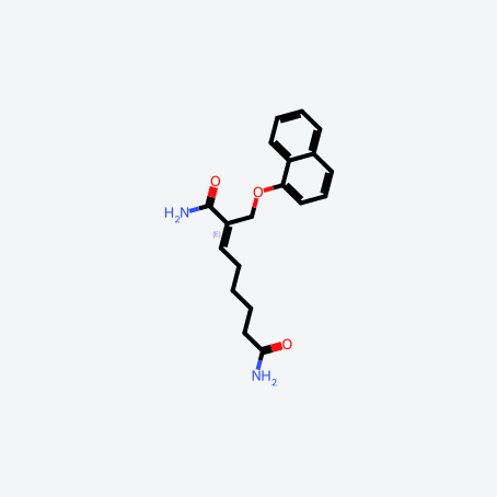 NC(=O)CCCC/C=C(\COc1cccc2ccccc12)C(N)=O